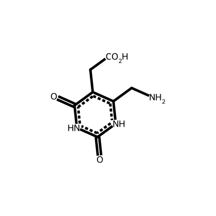 NCc1[nH]c(=O)[nH]c(=O)c1CC(=O)O